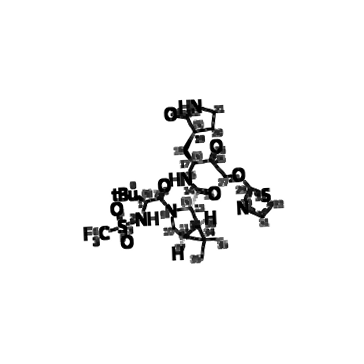 CC(C)(C)[C@H](NS(=O)(=O)C(F)(F)F)C(=O)N1C[C@H]2[C@@H]([C@H]1C(=O)N[C@@H](C[C@@H]1CCNC1=O)C(=O)COc1nccs1)C2(C)C